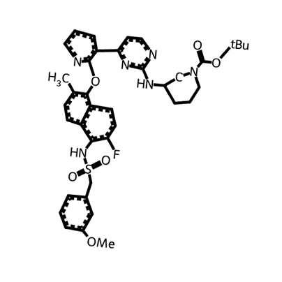 COc1cccc(CS(=O)(=O)Nc2c(F)ccc3c(Oc4ncccc4-c4ccnc(NC5CCCN(C(=O)OC(C)(C)C)C5)n4)c(C)ccc23)c1